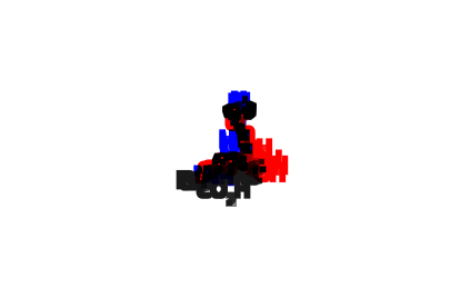 CNC(C(=O)NC(C(=O)N(C)C(/C=C(\C)C(=O)O)C(C)C)C(C)(C)C)C(C)(C)c1cccc(NC(=O)OCc2ccc(OC3OC(C(=O)O)C(O)C(O)C3O)c(CNC(O)CCNC(=O)CCCCC(=O)N3Cc4ccccc4-c4c(nnn4C)-c4ccccc43)c2)c1